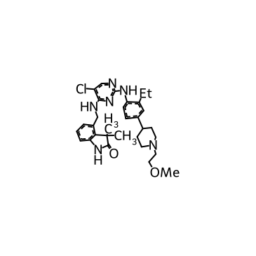 CCc1cc(C2CCN(CCOC)CC2)ccc1Nc1ncc(Cl)c(NCc2cccc3c2C(C)(C)C(=O)N3)n1